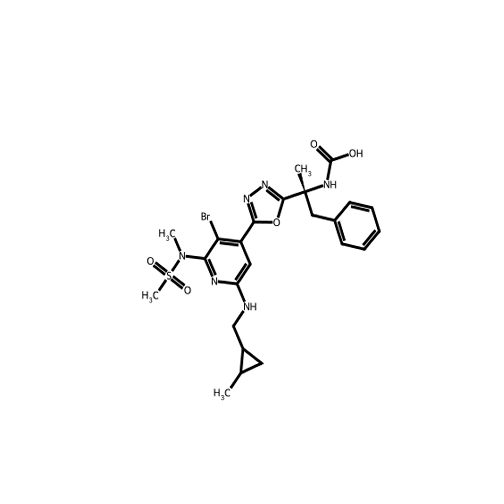 CC1CC1CNc1cc(-c2nnc([C@@](C)(Cc3ccccc3)NC(=O)O)o2)c(Br)c(N(C)S(C)(=O)=O)n1